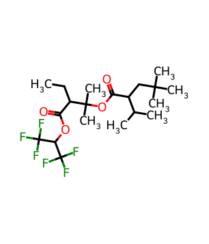 CCC(C(=O)OC(C(F)(F)F)C(F)(F)F)C(C)(C)OC(=O)C(CC(C)(C)C)C(C)C